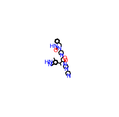 Cc1cc(C(C)C(CC(=O)N2CCC(N3CCc4ccccc4NC3=O)CC2)C(=O)N2CCN(C3CCN(C)CC3)CC2)cc2cn[nH]c12